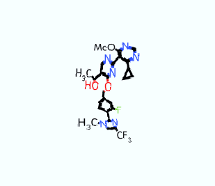 COc1ncnc(C2CC2)c1-c1ncc(C(C)O)c(OCc2ccc(-c3nc(C(F)(F)F)cn3C)c(F)c2)n1